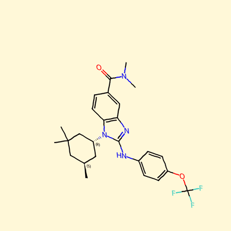 C[C@@H]1C[C@@H](n2c(Nc3ccc(OC(F)(F)F)cc3)nc3cc(C(=O)N(C)C)ccc32)CC(C)(C)C1